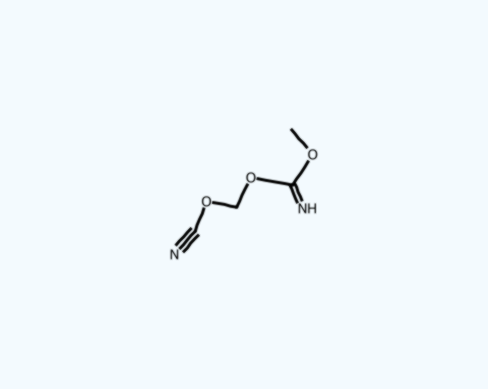 COC(=N)OCOC#N